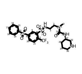 CN(CCNS(=O)(=O)c1cc(S(=O)(=O)c2ccccc2)ccc1C(F)(F)F)C(=O)N[C@@H]1CCCNC1